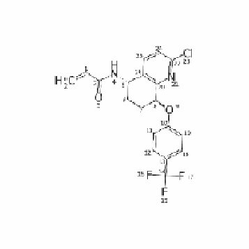 C=CC(=O)N[C@H]1CC[C@H](Oc2ccc(C(F)(F)F)cc2)c2nc(Cl)ccc21